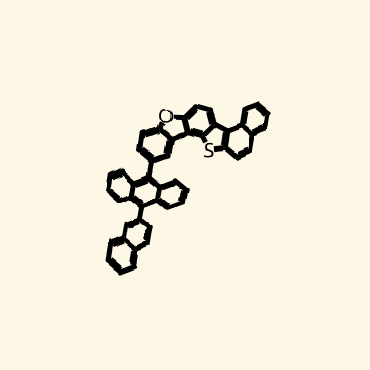 c1ccc2cc(-c3c4ccccc4c(-c4ccc5oc6ccc7c(sc8ccc9ccccc9c87)c6c5c4)c4ccccc34)ccc2c1